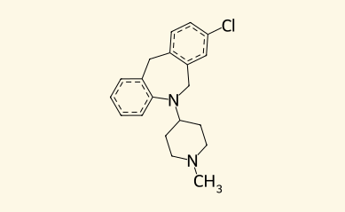 CN1CCC(N2Cc3cc(Cl)ccc3Cc3ccccc32)CC1